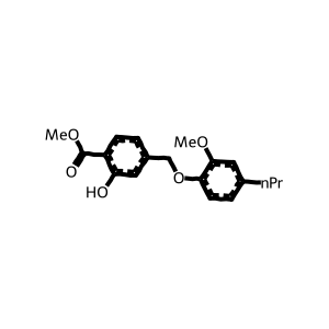 CCCc1ccc(OCc2ccc(C(=O)OC)c(O)c2)c(OC)c1